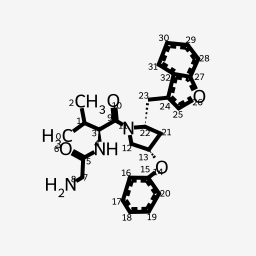 CC(C)[C@H](NC(=O)CN)C(=O)N1C[C@@H](Oc2ccccc2)C[C@H]1Cc1coc2ccccc12